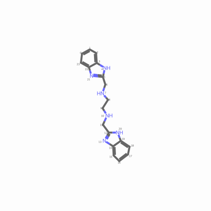 c1ccc2[nH]c(CNCCNCc3nc4ccccc4[nH]3)nc2c1